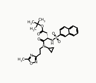 Cc1nc(CCN(C(=O)[C@H](CC(=O)OC(C)(C)C)NS(=O)(=O)c2ccc3ccccc3c2)C2CC2)no1